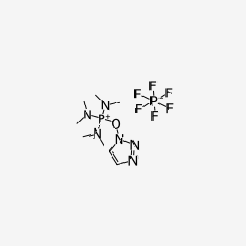 CN(C)[P+](On1ccnn1)(N(C)C)N(C)C.F[P-](F)(F)(F)(F)F